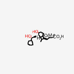 CO[C@@]12CC[C@H](O)[C@@H](C#CC(O)C3CCCCC3)[C@@H]1C(C)/C2=C/CCC(=O)O